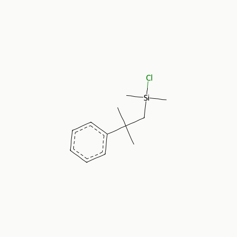 CC(C)(C[Si](C)(C)Cl)c1ccccc1